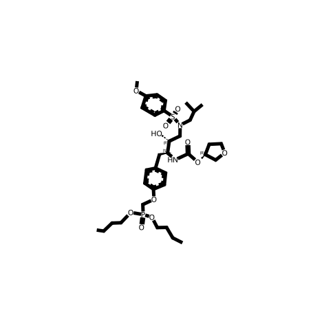 CCCCOP(=O)(COc1ccc(C[C@H](NC(=O)O[C@@H]2CCOC2)[C@H](O)CN(CC(C)C)S(=O)(=O)c2ccc(OC)cc2)cc1)OCCCC